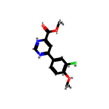 COC(=O)c1cc(-c2ccc(OC)c(Cl)c2)ncn1